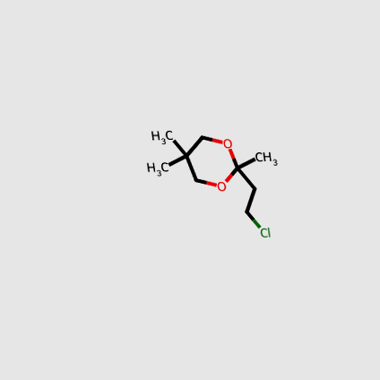 CC1(C)COC(C)(CCCl)OC1